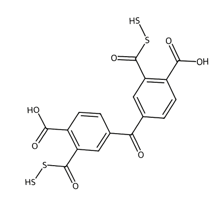 O=C(c1ccc(C(=O)O)c(C(=O)SS)c1)c1ccc(C(=O)O)c(C(=O)SS)c1